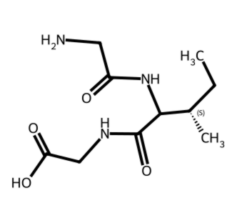 CC[C@H](C)C(NC(=O)CN)C(=O)NCC(=O)O